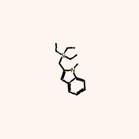 CC[Si](CC)(CC)Cc1cc2ccccc2n1C